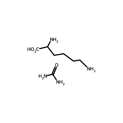 NC(N)=O.NCCCCC(N)C(=O)O